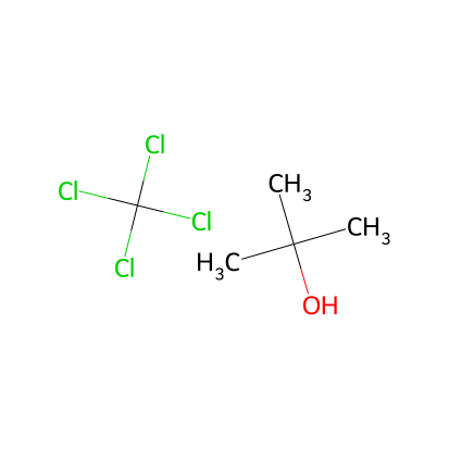 CC(C)(C)O.ClC(Cl)(Cl)Cl